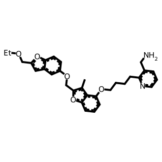 CCOCc1cc2cc(OCc3oc4cccc(OCCCCc5ncccc5CN)c4c3C)ccc2o1